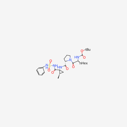 CCCCCC[C@H](NC(=O)OC(C)(C)C)C(=O)N1CCC[C@H]1C(=O)N[C@]1(C(=O)NS(=O)(=O)Nc2ccccc2)C[C@H]1C